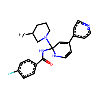 CC1CCCN(C2(NC(=O)c3ccc(F)cc3)C=C(c3ccncc3)C=CN2)C1